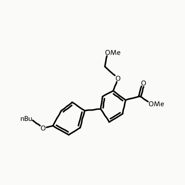 CCCCOc1ccc(-c2ccc(C(=O)OC)c(OCOC)c2)cc1